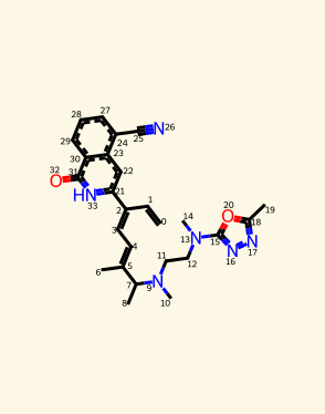 C=C/C(=C\C=C(/C)C(C)N(C)CCN(C)c1nnc(C)o1)c1cc2c(C#N)cccc2c(=O)[nH]1